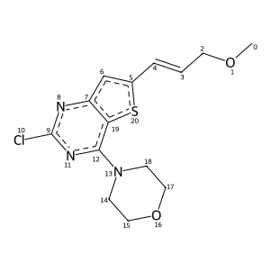 COCC=Cc1cc2nc(Cl)nc(N3CCOCC3)c2s1